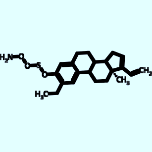 C=CC1=CCC2C3CCc4cc(OSOON)c(CC)cc4C3CC[C@]12C